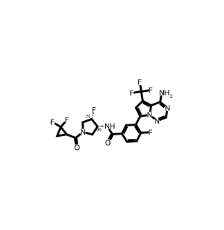 Nc1ncnn2c(-c3cc(C(=O)N[C@@H]4CN(C(=O)C5CC5(F)F)C[C@@H]4F)ccc3F)cc(C(F)(F)F)c12